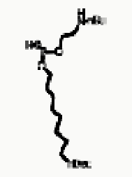 CCCCCCCCCCCCCCCCCCOP(O)OCCNCCCC